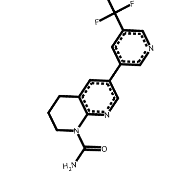 NC(=O)N1CCCc2cc(-c3cncc(C(F)(F)F)c3)cnc21